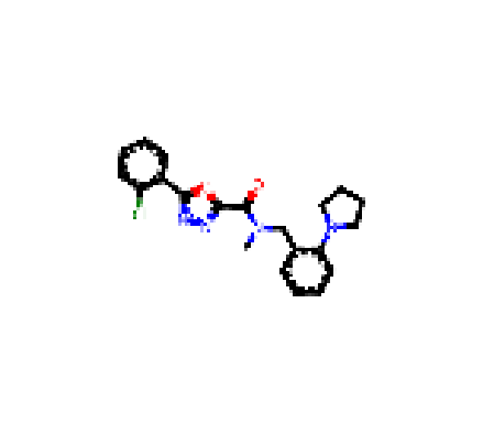 CN(Cc1ccccc1N1CCCC1)C(=O)c1nnc(-c2ccccc2Cl)o1